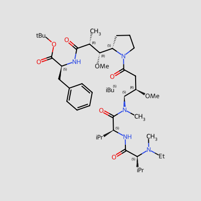 CC[C@H](C)[C@@H]([C@@H](CC(=O)N1CCC[C@H]1[C@H](OC)[C@@H](C)C(=O)N[C@@H](Cc1ccccc1)C(=O)OC(C)(C)C)OC)N(C)C(=O)[C@@H](NC(=O)[C@H](C(C)C)N(C)CC)C(C)C